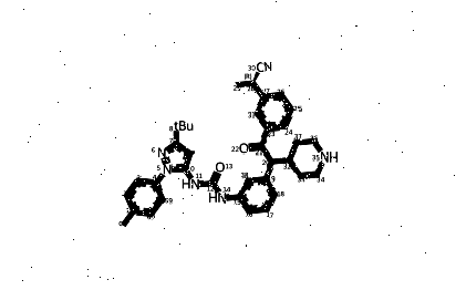 Cc1ccc(-n2nc(C(C)(C)C)cc2NC(=O)Nc2cccc(C(C(=O)c3cccc([C@@H](C)C#N)c3)C3CCNCC3)c2)cc1